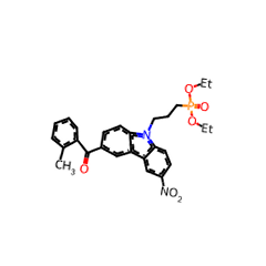 CCOP(=O)(CCCn1c2ccc(C(=O)c3ccccc3C)cc2c2cc([N+](=O)[O-])ccc21)OCC